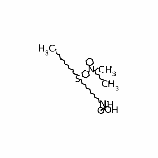 CCCCCC(CC)N(C1CCCCC1)C1CCCCC1.CCCCCCCCCCCCSCCCCCCCCCCNC(=O)O